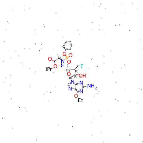 CCOc1nc(N)nc2c1ncn2[C@@H]1O[C@H](COP(=O)(N[C@@H](C)C(=O)OC(C)C)Oc2ccccc2)[C@@H](CF)[C@H]1O